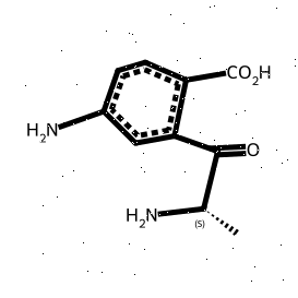 C[C@H](N)C(=O)c1cc(N)ccc1C(=O)O